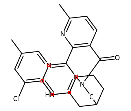 Cc1cnc(NC2CC3CCC2N(C(=O)c2ccc(C)nc2-c2ncccn2)C3)c(Cl)c1